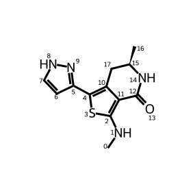 CNc1sc(-c2cc[nH]n2)c2c1C(=O)N[C@H](C)C2